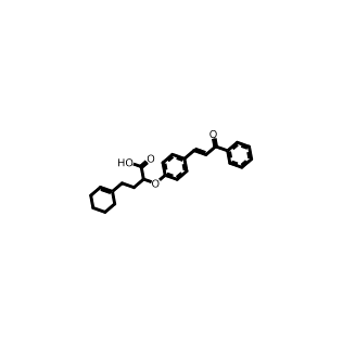 O=C(C=Cc1ccc(OC(CCC2=CCCCC2)C(=O)O)cc1)c1ccccc1